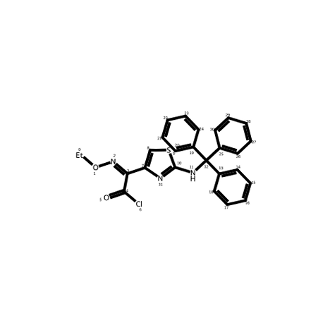 CCO/N=C(\C(=O)Cl)c1csc(NC(c2ccccc2)(c2ccccc2)c2ccccc2)n1